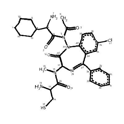 CC(=O)N(C(=O)C(N)C1CCCCC1)N1C(=O)C(N(C)C(=O)C(N)CS)N=C(c2ccccc2)c2cc(Cl)ccc21